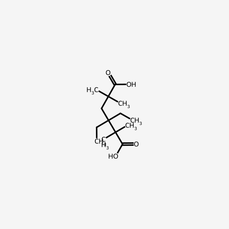 CCC(CC)(CC(C)(C)C(=O)O)C(C)(C)C(=O)O